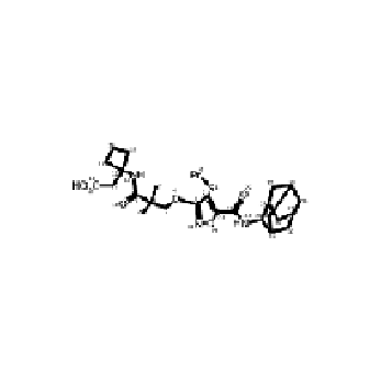 CC(C)Sc1c(OCC(C)(C)C(=O)NC2(CC(=O)O)CCC2)noc1C(=O)NC1C2CC3CC(C2)CC1C3